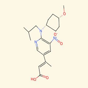 CO[C@H]1CC[C@@H](N(CC(C)C)c2ncc(/C(C)=C/C(=O)O)cc2[N+](=O)[O-])CC1